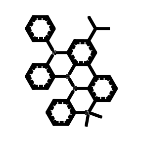 CC(C)c1cc2c3c(c1)N(c1ccccc1)c1ccccc1B3N1c3ccccc3[Si](C)(C)c3cccc-2c31